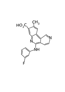 Cc1cc2c(cc1C(=O)O)nc(Nc1cccc(F)c1)c1ccncc12